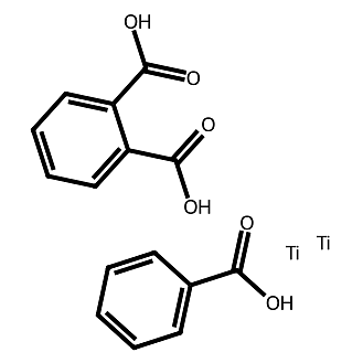 O=C(O)c1ccccc1.O=C(O)c1ccccc1C(=O)O.[Ti].[Ti]